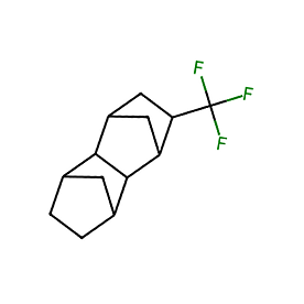 FC(F)(F)C1CC2CC1C1C3CCC(C3)C21